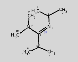 CC(C)/N=C(/C(C)C)N(C)C